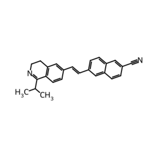 CC(C)C1=NCCc2cc(/C=C/c3ccc4cc(C#N)ccc4c3)ccc21